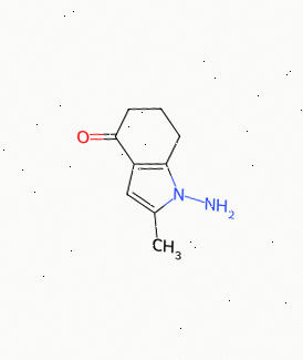 Cc1cc2c(n1N)CCCC2=O